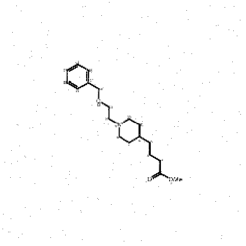 COC(=O)CCCC1CCN(CCOCc2ccccc2)CC1